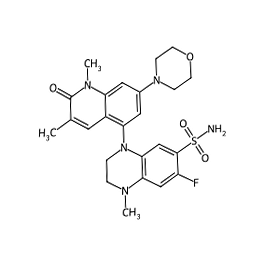 Cc1cc2c(N3CCN(C)c4cc(F)c(S(N)(=O)=O)cc43)cc(N3CCOCC3)cc2n(C)c1=O